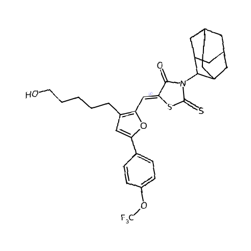 O=C1/C(=C/c2oc(-c3ccc(OC(F)(F)F)cc3)cc2CCCCCO)SC(=S)N1C1C2CC3CC(C2)CC1C3